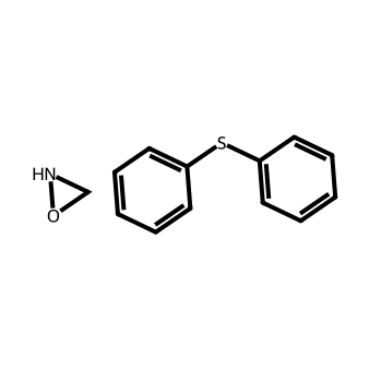 C1NO1.c1ccc(Sc2ccccc2)cc1